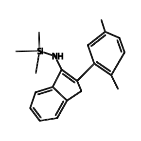 Cc1ccc(C)c(C2=C(N[Si](C)(C)C)c3ccccc3C2)c1